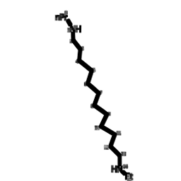 CCCNCCCCC[CH]CCCCCCNCC